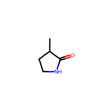 CC1[CH]CNC1=O